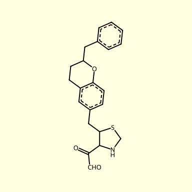 O=CC(=O)C1NCSC1Cc1ccc2c(c1)CCC(Cc1ccccc1)O2